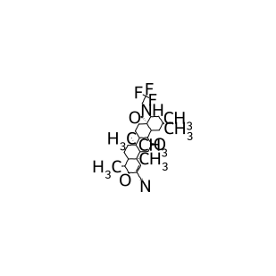 C[C@@H]1C(=O)C(C#N)=C[C@@]2(C)C1CC[C@]1(C)C2CC(=O)C2C3CC(C)(C)CC[C@]3(C(=O)NCC(F)(F)F)CC[C@]21C